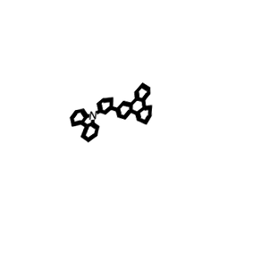 c1cc(-c2ccc3c4ccccc4c4ccccc4c3c2)cc(-n2c3ccccc3c3ccccc32)c1